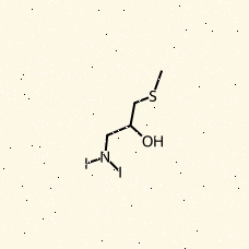 CSCC(O)CN(I)I